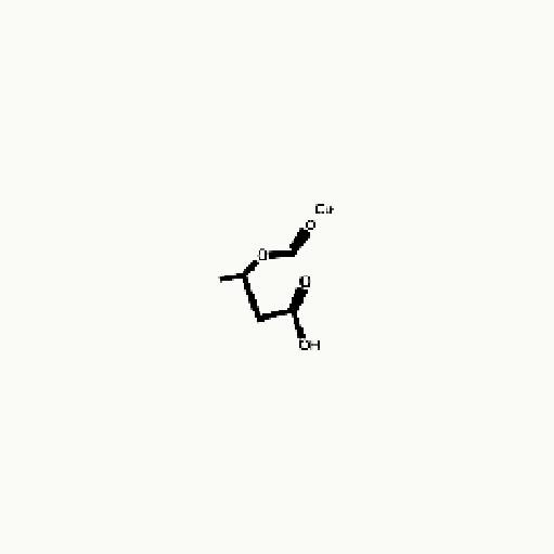 CC(CC(=O)O)OC=O.[Cu]